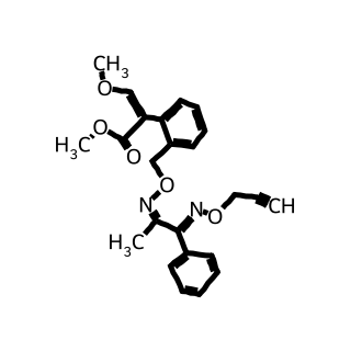 C#CCON=C(C(C)=NOCc1ccccc1C(=COC)C(=O)OC)c1ccccc1